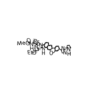 CCO[C@H]1C[C@@H](c2nc3ccc4cc5c(cc4c3[nH]2)OCc2cc(C3=NC([C@@H]4CCCN4)=NC3)ccc2-5)N(C(=O)[C@@H](NC(=O)OC)C(C)C)C1